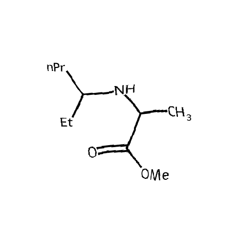 CCCC(CC)NC(C)C(=O)OC